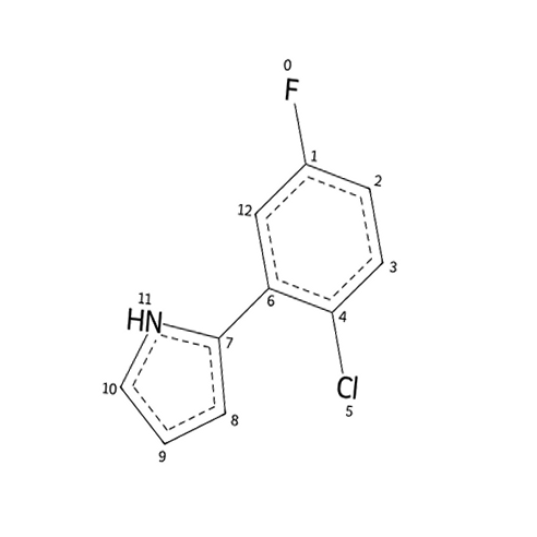 Fc1ccc(Cl)c(-c2ccc[nH]2)c1